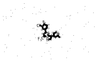 Cc1cc(-c2cnn3c(C(F)(F)F)cc(-c4ccc(F)c(Cl)c4)nc23)ccn1